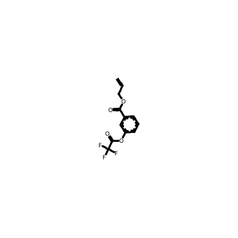 C=CCOC(=O)c1cccc(OC(=O)C(F)(F)F)c1